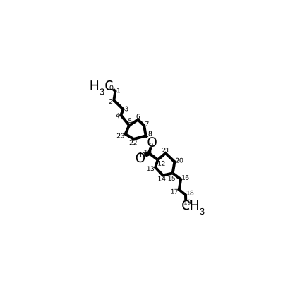 CCCCCC1CCC(OC(=O)C2CCC(CCCC)CC2)CC1